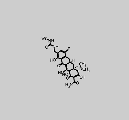 CCCNC(=O)NCc1cc(F)c2c(c1O)C(=O)C1=C(O)[C@]3(O)C(=O)C(C(N)=O)=C(O)[C@@H](N(C)C)[C@@H]3C[C@@H]1C2